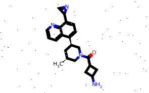 C[C@@H]1C[C@@H](c2ccc(C3C=N3)c3ncccc23)CN(C(=O)C2CC(N)C2)C1